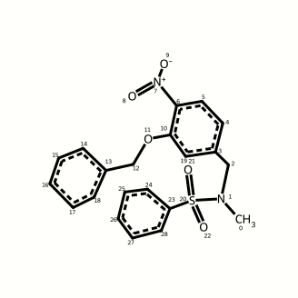 CN(Cc1ccc([N+](=O)[O-])c(OCc2ccccc2)c1)S(=O)(=O)c1ccccc1